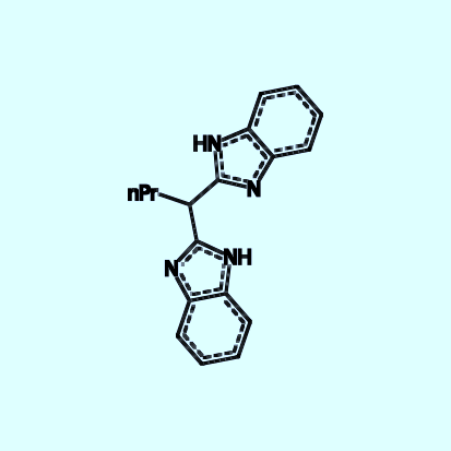 CCCC(c1nc2ccccc2[nH]1)c1nc2ccccc2[nH]1